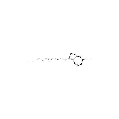 CCCCCCCCCCCCCCCCCCc1ccc2cc(C(C)C)cccc1-2